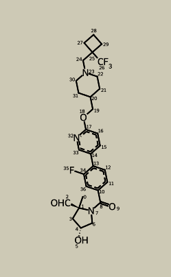 C[C@@]1(C=O)C[C@@H](O)CN1C(=O)c1ccc(-c2ccc(OCC3CCN(CC4(C(F)(F)F)CCC4)CC3)nc2)c(F)c1